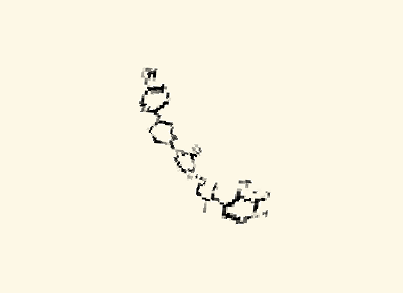 CC(CO[C@@H]1CCN(C2CCN(c3cnc(C#N)cn3)CC2)C1=O)Nc1cn[nH]c(=O)c1C(F)(F)F